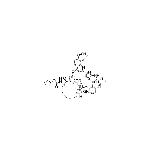 COc1ccc2c(O[C@@H]3C[C@H]4C(=O)N[C@]5(P(=O)(O)Cc6c(F)ccc(Cl)c6F)C[C@H]5CCCCCCC[C@H](NC(=O)OC5CCCC5)C(=O)N4C3)cc(-c3csc(NC(C)C)n3)nc2c1Cl